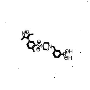 Cc1ccc(-c2c(C)noc2C)cc1S(=O)(=O)N1CCN(Cc2cccc(B(O)O)c2)CC1